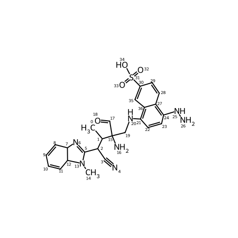 CC(C(C#N)C1=NC2C=CC=CC2N1C)C(N)(C=O)CNc1ccc(NN)c2ccc(S(=O)(=O)O)cc12